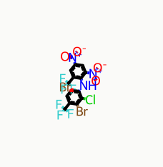 O=[N+]([O-])c1cc([N+](=O)[O-])c(Nc2c(Br)cc(C(F)(F)F)c(Br)c2Cl)c(C(F)(F)F)c1